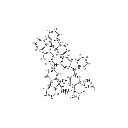 CC1(C)CCC(C)(C)c2cc(-n3c4ccccc4c4ccc(N(c5cccc(C6(c7ccccc7)c7ccccc7-c7ccccc76)c5)c5ccc6c(c5)C(C)(C)c5ccccc5-6)cc43)ccc21